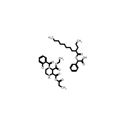 CCCCCCCCC(CCC)C(=O)O[C@@H](C(=O)O)c1ccccc1.CCOC(=O)C1C(C(=O)OC(=O)CC)NCCN1C(=O)c1ccccc1Cl